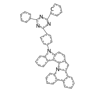 c1ccc(-c2nc(-c3ccccc3)nc(-c3ccc(-n4c5ccccc5c5c4ccc4cc6c7ccccc7c7ccccc7n6c45)cc3)n2)cc1